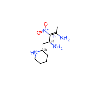 C/C(N)=C(/[C@@H](N)C[C@@H]1CCCCN1)[N+](=O)[O-]